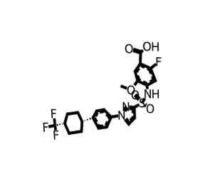 COc1cc(C(=O)O)c(F)cc1NS(=O)(=O)c1ccn(-c2ccc([C@H]3CC[C@@H](C(F)(F)F)CC3)cc2)n1